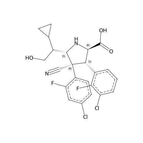 N#C[C@]1(c2ccc(Cl)cc2F)[C@H](C(CO)C2CC2)N[C@@H](C(=O)O)[C@@H]1c1cccc(Cl)c1F